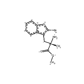 COC(=O)[C@@](C)(N)Cc1c(Br)oc2ccccc12